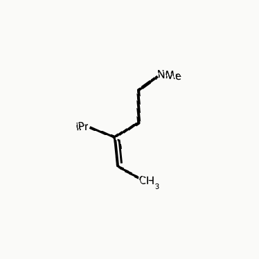 C/C=C(\CCNC)C(C)C